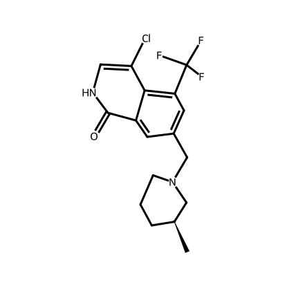 C[C@H]1CCCN(Cc2cc(C(F)(F)F)c3c(Cl)c[nH]c(=O)c3c2)C1